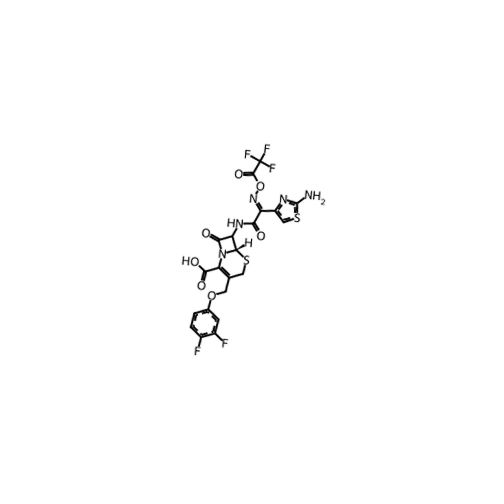 Nc1nc(C(=NOC(=O)C(F)(F)F)C(=O)NC2C(=O)N3C(C(=O)O)=C(COc4ccc(F)c(F)c4)CS[C@@H]23)cs1